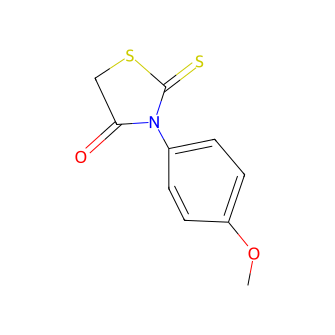 COc1ccc(N2C(=O)CSC2=S)cc1